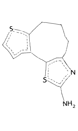 Nc1nc2c(s1)-c1ccsc1CCC2